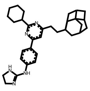 c1cc(-c2cc(CCC34CC5CC6CC(C3)C6(C5)C4)nc(C3CCCCC3)n2)ccc1NC1=NCCN1